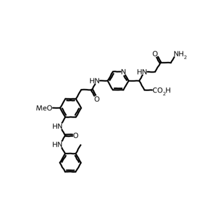 COc1cc(CC(=O)Nc2ccc(C(CC(=O)O)NCC(=O)CN)nc2)ccc1NC(=O)Nc1ccccc1C